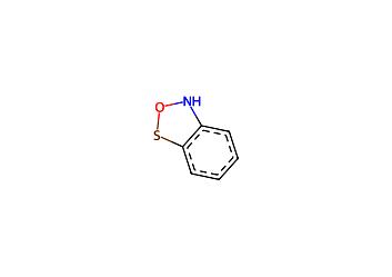 c1ccc2c(c1)NOS2